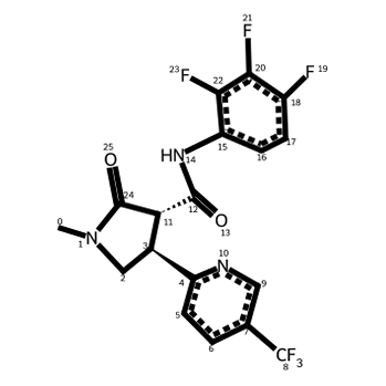 CN1C[C@H](c2ccc(C(F)(F)F)cn2)[C@@H](C(=O)Nc2ccc(F)c(F)c2F)C1=O